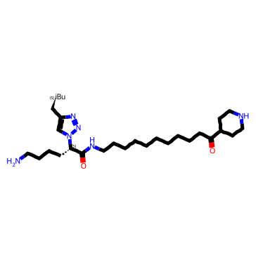 CC[C@H](C)Cc1cn([C@@H](CCCCN)C(=O)NCCCCCCCCCCC(=O)C2CCNCC2)nn1